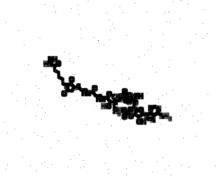 CC(C)(COP(=O)(O)OP(=O)(O)OC[C@H]1O[C@@H](n2cnc3c(N)ncnc32)[C@@H](O)C1OP(=O)(O)O)[C@@H](O)C(=O)NCCC(=O)NCCS[C@H]1CC(=O)N(CCCCCC(=O)NN)C1=O